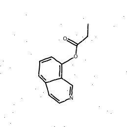 CCC(=O)Oc1cccc2ccncc12